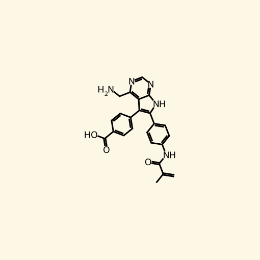 C=C(C)C(=O)Nc1ccc(-c2[nH]c3ncnc(CN)c3c2-c2ccc(C(=O)O)cc2)cc1